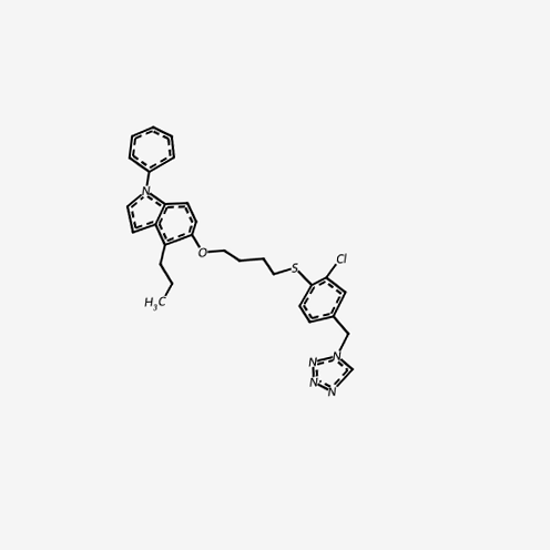 CCCc1c(OCCCCSc2ccc(Cn3cnnn3)cc2Cl)ccc2c1ccn2-c1ccccc1